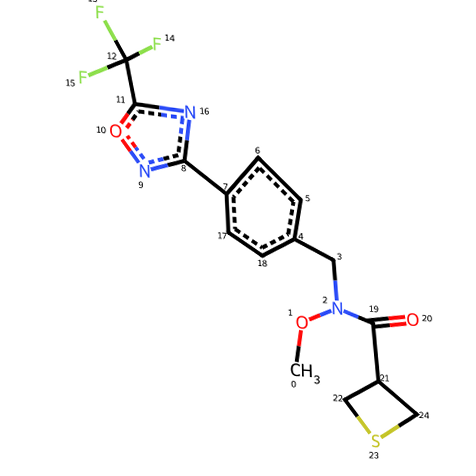 CON(Cc1ccc(-c2noc(C(F)(F)F)n2)cc1)C(=O)C1CSC1